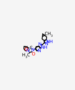 CC(C(=O)N(C)c1cnc2[nH]c(-c3n[nH]c4c3CC3C[C@]3(C)C4)nc2c1)N1CC2CC(C1)O2